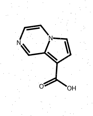 O=C(O)c1ccn2ccncc12